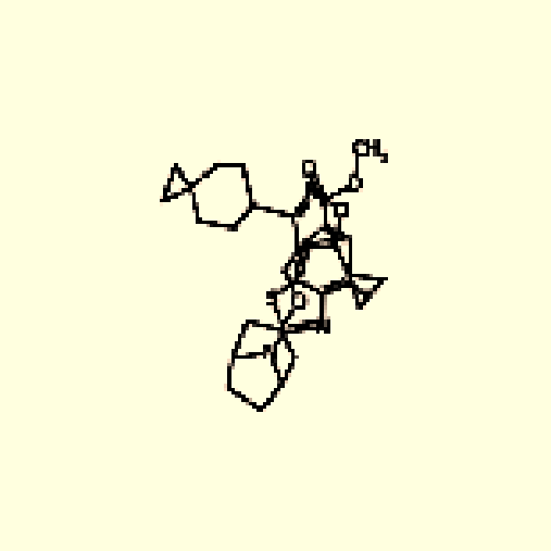 COC(=O)c1cc(F)c2nc(N3C4CCC3CC(OCc3c(C5CCC6(CC5)CC6)noc3C3CC3)C4)sc2c1